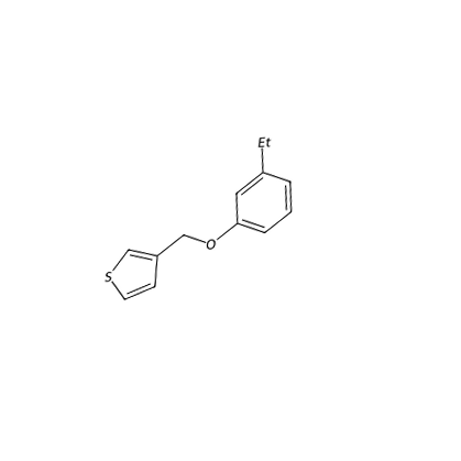 CCc1cccc(OCc2ccsc2)c1